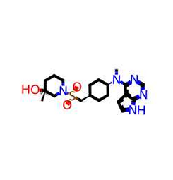 CN(c1ncnc2[nH]ccc12)[C@H]1CC[C@H](CS(=O)(=O)N2CCC[C@@](C)(O)C2)CC1